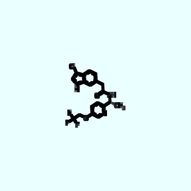 C[C@@H](NC(=O)Cc1ccc2c(Cl)c[nH]c2c1)c1ccc(OCC(F)(F)F)cn1